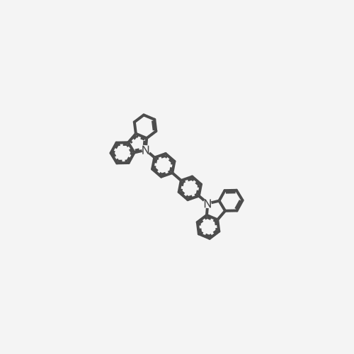 C1=CC2c3ccccc3N(c3ccc(-c4ccc(-n5c6c(c7ccccc75)CCC=C6)cc4)cc3)C2C=C1